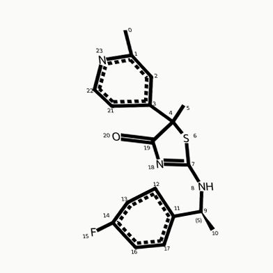 Cc1cc(C2(C)SC(N[C@@H](C)c3ccc(F)cc3)=NC2=O)ccn1